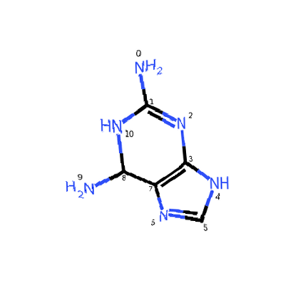 NC1=Nc2[nH]cnc2C(N)N1